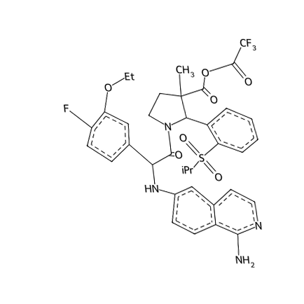 CCOc1cc(C(Nc2ccc3c(N)nccc3c2)C(=O)N2CCC(C)(C(=O)OC(=O)C(F)(F)F)C2c2ccccc2S(=O)(=O)C(C)C)ccc1F